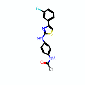 CCC(=O)Nc1ccc(Nc2nc(-c3cccc(F)c3)cs2)cc1